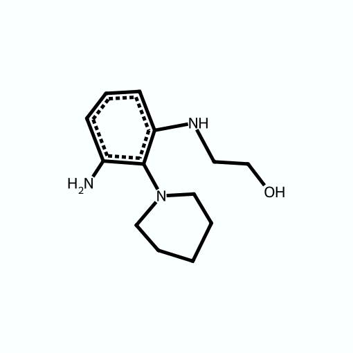 Nc1cccc(NCCO)c1N1CCCCC1